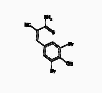 CC(C)c1cc(C=C(C#N)C(N)=S)cc(C(C)C)c1O